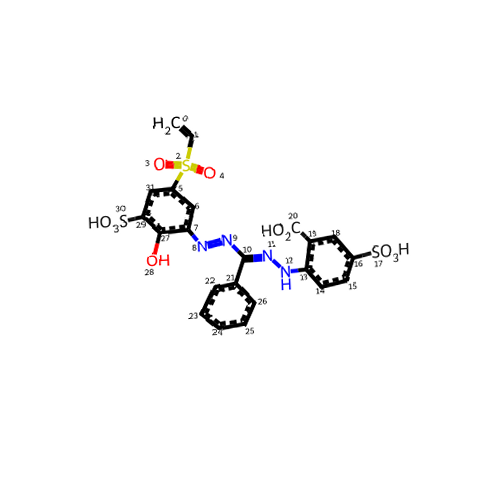 C=CS(=O)(=O)c1cc(/N=N/C(=N/Nc2ccc(S(=O)(=O)O)cc2C(=O)O)c2ccccc2)c(O)c(S(=O)(=O)O)c1